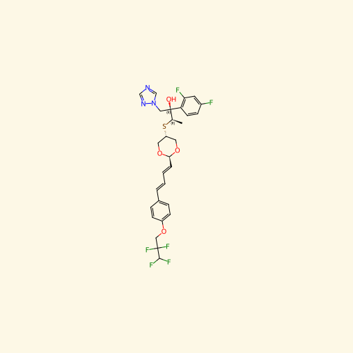 C[C@@H](S[C@H]1CO[C@H](C=CC=Cc2ccc(OCC(F)(F)C(F)F)cc2)OC1)[C@](O)(Cn1cncn1)c1ccc(F)cc1F